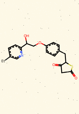 CCc1ccc(C(O)COc2ccc(CC3SC(=O)CC3=O)cc2)nc1